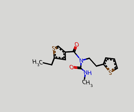 CCc1cc(C(=O)N(CCc2cccs2)C(=O)NC)cs1